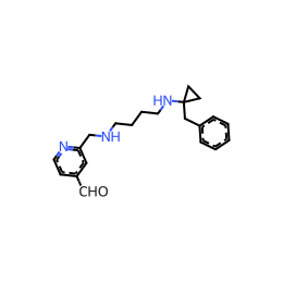 O=Cc1ccnc(CNCCCCNC2(Cc3ccccc3)CC2)c1